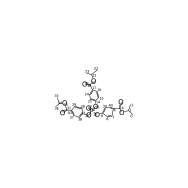 CC(C)OC(=O)c1ccc(OP(=O)(Oc2ccc(C(=O)OC(C)C)cc2)Oc2ccc(C(=O)OC(C)C)cc2)cc1